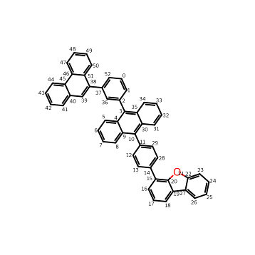 c1cc(-c2c3ccccc3c(-c3ccc(-c4cccc5c4oc4ccccc45)cc3)c3ccccc23)cc(-c2cc3ccccc3c3ccccc23)c1